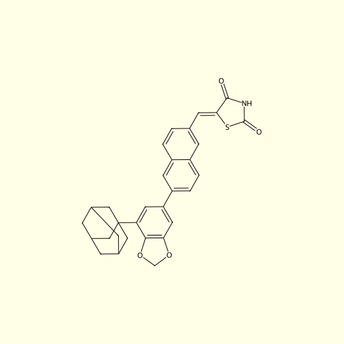 O=C1NC(=O)C(=Cc2ccc3cc(-c4cc5c(c(C67CC8CC(CC(C8)C6)C7)c4)OCO5)ccc3c2)S1